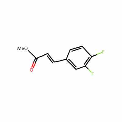 COC(=O)C=Cc1ccc(F)c(F)c1